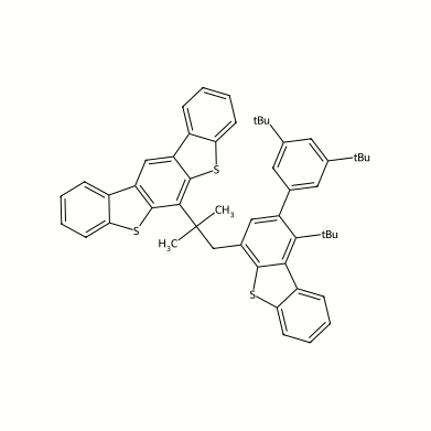 CC(C)(C)c1cc(-c2cc(CC(C)(C)c3c4sc5ccccc5c4cc4c3sc3ccccc34)c3sc4ccccc4c3c2C(C)(C)C)cc(C(C)(C)C)c1